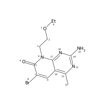 CCOCCn1c(=O)c(Br)cc2c(C)nc(N)nc21